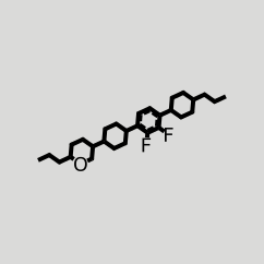 CCCC1CCC(c2ccc(C3CCC(C4CCC(CCC)OC4)CC3)c(F)c2F)CC1